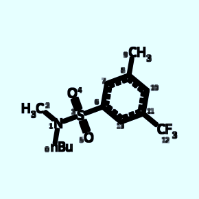 CCCCN(C)S(=O)(=O)c1cc(C)cc(C(F)(F)F)c1